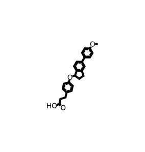 COc1ccc(-c2ccc3c(c2)CCC3Oc2ccc(CCC(=O)O)cc2)cc1